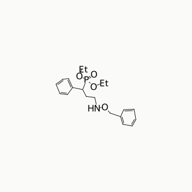 CCOP(=O)(OCC)C(CCNOCc1ccccc1)c1ccccc1